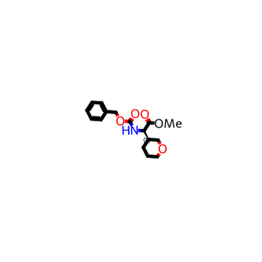 COC(=O)C(NC(=O)OCc1ccccc1)[C@@H]1CCCOC1